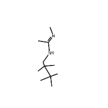 C/N=C(\C)NCC(C)(C)C(C)(C)C